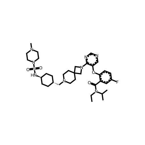 CCN(C(=O)c1cc(F)ccc1Oc1cncnc1N1CC2(CCN(C[C@H]3CC[C@H](NS(=O)(=O)N4CCN(C)CC4)CC3)CC2)C1)C(C)C